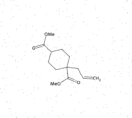 C=CCC1(C(=O)OC)CCC(C(=O)OC)CC1